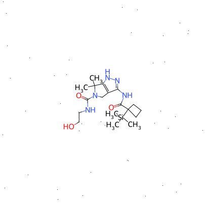 CC1(C)c2[nH]nc(NC(=O)C3([Si](C)(C)C)CCC3)c2CN1C(=O)NCCO